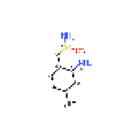 CC(C)C1CCC(C[S+](N)[O-])C(N)C1